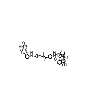 O=C1CCC(N2Cc3c(NCC4CN(CCNC(=O)c5ccc(NC(=O)[C@@H]6NC7(CCCCC7)[C@@]7(C(=O)Nc8cc(Cl)ccc87)[C@H]6c6cccc(Cl)c6F)cc5)C4)cccc3C2=O)C(=O)N1